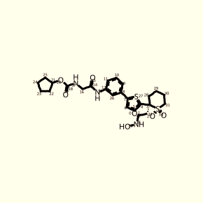 O=C(C[C@]1(c2ccc(-c3cccc(NC(=O)CNC(=O)OC4CCCC4)c3)s2)CCCCS1(=O)=O)NO